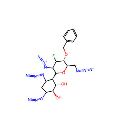 [N-]=[N+]=NC[C@H]1OC([C@@H]2C(N=[N+]=[N-])CC(N=[N+]=[N-])[C@H](O)[C@H]2O)C(N=[N+]=[N-])[C@@H](F)[C@@H]1OCc1ccccc1